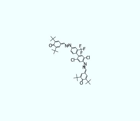 CC(C)(C)C1=CC(=C/N=N/c2ccc(-c3cc(Cl)c(/N=N/C=C4C=C(C(C)(C)C)C(=O)C(C(C)(C)C)=C4)cc3Cl)c(C(F)(F)F)c2)C=C(C(C)(C)C)C1=O